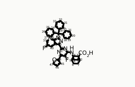 O=C(O)C1C2CCC(CC2)C1Nc1nc(-c2nn(C(c3ccccc3)(c3ccccc3)c3ccccc3)c3ncc(F)cc23)nc(-c2ccco2)c1F